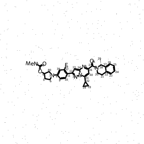 CNC(=O)OC1CCN(c2ccc(-c3cc4nc(C(=O)N5CCc6ccccc6[C@H]5C)cc(C5CC5)n4n3)c(F)c2)C1